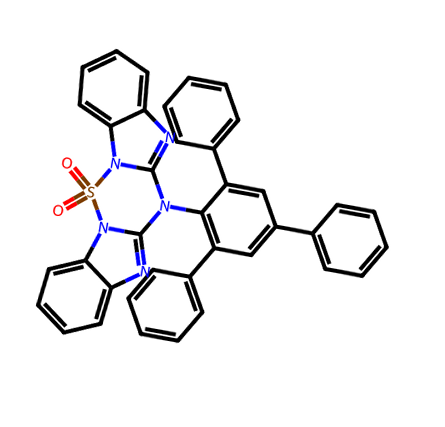 O=S1(=O)n2c(nc3ccccc32)N(c2c(-c3ccccc3)cc(-c3ccccc3)cc2-c2ccccc2)c2nc3ccccc3n21